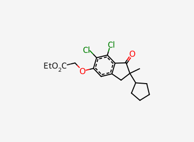 CCOC(=O)COc1cc2c(c(Cl)c1Cl)C(=O)C(C)(C1CCCC1)C2